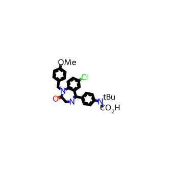 COc1ccc(CN2C(=O)CN=C(c3ccc(N(C(=O)O)C(C)(C)C)cc3)c3cc(Cl)ccc32)cc1